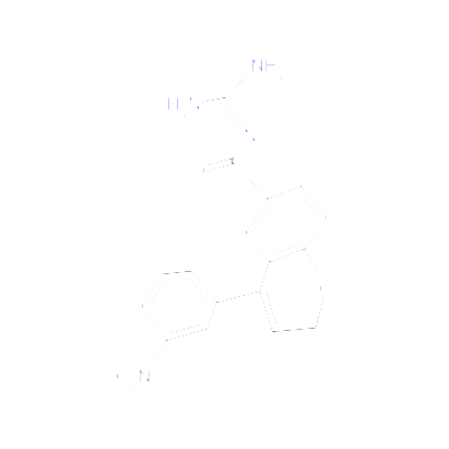 NC(N)=NC(=O)c1ccc2c(c1)C(c1cccc([N+](=O)[O-])c1)=CCO2